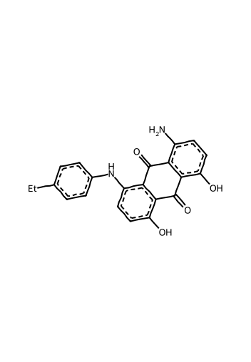 CCc1ccc(Nc2ccc(O)c3c2C(=O)c2c(N)ccc(O)c2C3=O)cc1